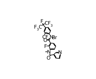 CN(C(=O)c1cccnc1)c1cccc(C(=O)N(Br)c2ccc(C(F)(C(F)(F)F)C(F)(F)F)cc2C(F)(F)F)c1F